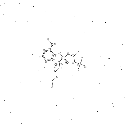 CCCCCCP(=O)(Cc1c(OC)cccc1OC)CC(C)CC(C)(C)C